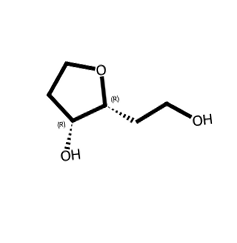 OCC[C@H]1OCC[C@H]1O